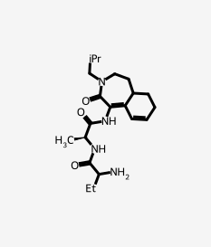 CCC(N)C(=O)N[C@@H](C)C(=O)NC1=C2C=CCCC2CCN(CC(C)C)C1=O